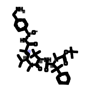 C/C(=C\[C@H](C(C)C)N(C)C(=O)[C@@H](NC(=O)[C@@H](N(C)C(=O)OC(C)(C)C)C(C)(C)c1ccccc1)C(C)(C)C)C(=O)N[S+]([O-])c1ccc(CN)cc1